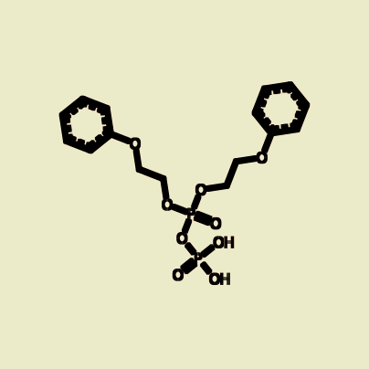 O=P(O)(O)OP(=O)(OCCOc1ccccc1)OCCOc1ccccc1